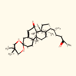 COC(=O)CC[C@@H](C)[C@H]1CC[C@H]2[C@@H]3C(=O)C=C4CC5(CC[C@]4(C)[C@H]3CC[C@]12C)OCC(C)(C)CO5